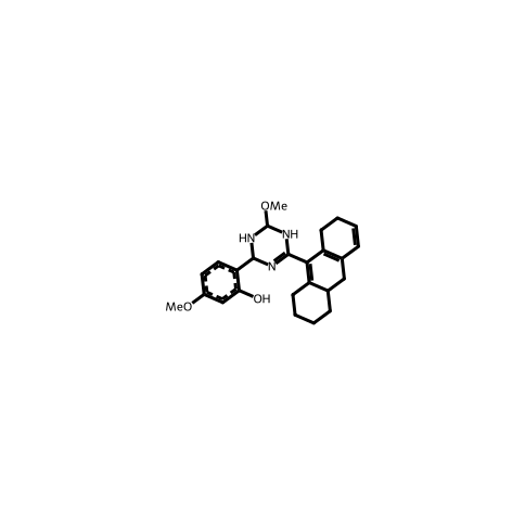 COc1ccc(C2N=C(C3=C4CCCCC4CC4=C3CCC=C4)NC(OC)N2)c(O)c1